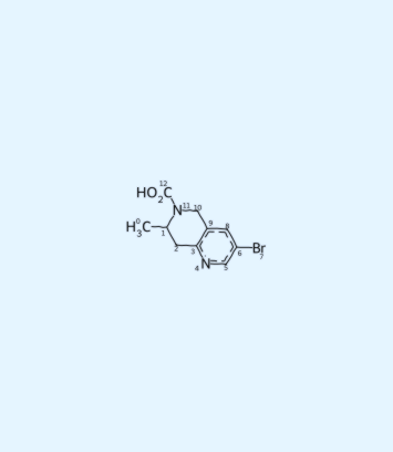 CC1Cc2ncc(Br)cc2CN1C(=O)O